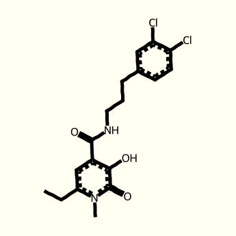 CCc1cc(C(=O)NCCCc2ccc(Cl)c(Cl)c2)c(O)c(=O)n1C